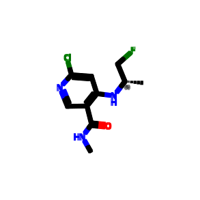 CNC(=O)c1cnc(Cl)cc1N[C@@H](C)CF